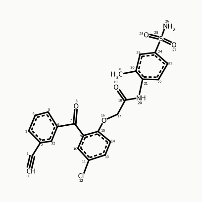 C#Cc1cccc(C(=O)c2cc(Cl)ccc2OCC(=O)Nc2ccc(S(N)(=O)=O)cc2C)c1